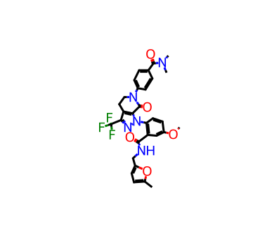 COc1ccc(-n2nc(C(F)(F)F)c3c2C(=O)N(c2ccc(C(=O)N(C)C)cc2)CC3)c(C(=O)NCc2ccc(C)o2)c1